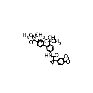 CN(C)C(=O)c1ccc(-c2cc(NC(=O)C3(c4ccc5c(c4)OCO5)CC3)ccc2C(C)(C)C)cc1